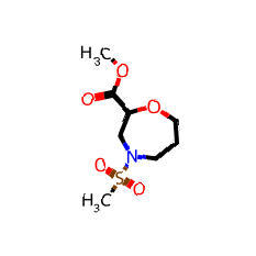 COC(=O)C1CN(S(C)(=O)=O)CCCO1